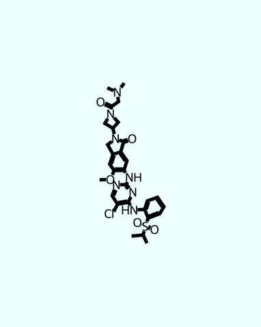 COc1cc2c(cc1Nc1ncc(Cl)c(Nc3ccccc3S(=O)(=O)C(C)C)n1)C(=O)N(C1CN(C(=O)CN(C)C)C1)C2